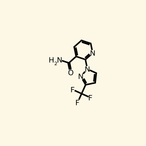 NC(=O)c1cccnc1-n1ccc(C(F)(F)F)n1